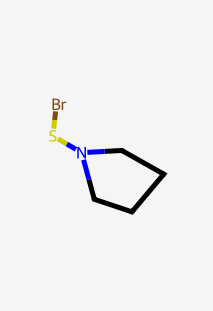 BrSN1CCCC1